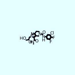 CN1OC(CO)Cn2nc3c(c2C1=O)CN(C(=O)Nc1cc(F)c(F)c(Cl)c1)CC3